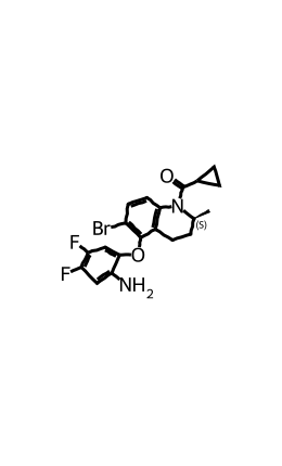 C[C@H]1CCc2c(ccc(Br)c2Oc2cc(F)c(F)cc2N)N1C(=O)C1CC1